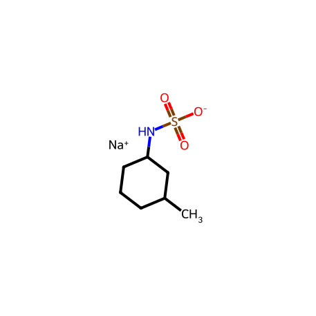 CC1CCCC(NS(=O)(=O)[O-])C1.[Na+]